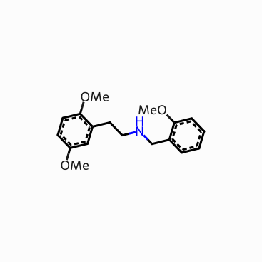 COc1ccc(OC)c(CCNCc2ccccc2OC)c1